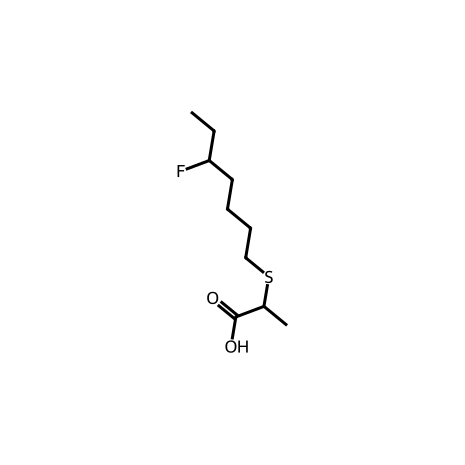 CCC(F)CCCCSC(C)C(=O)O